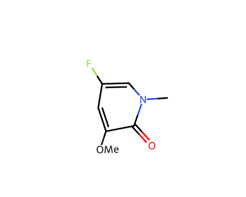 COc1cc(F)cn(C)c1=O